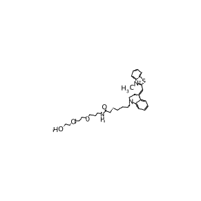 C[n+]1c(C=C2CCN(CCCCCC(=O)NCCCOCCOCCO)c3ccccc32)sc2ccccc21